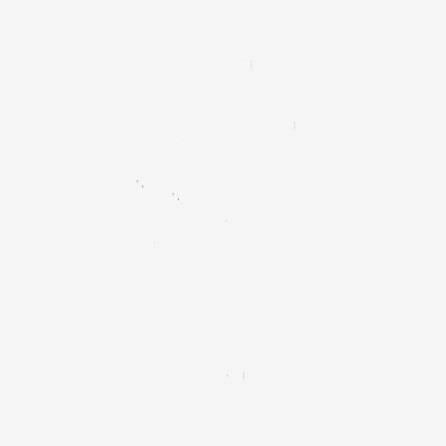 Cc1ccc(S(=O)(=O)n2ncc3[c]c(Cl)c(C)cc32)cc1